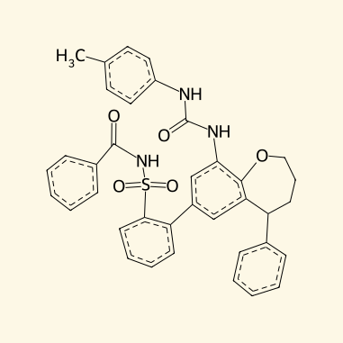 Cc1ccc(NC(=O)Nc2cc(-c3ccccc3S(=O)(=O)NC(=O)c3ccccc3)cc3c2OCCCC3c2ccccc2)cc1